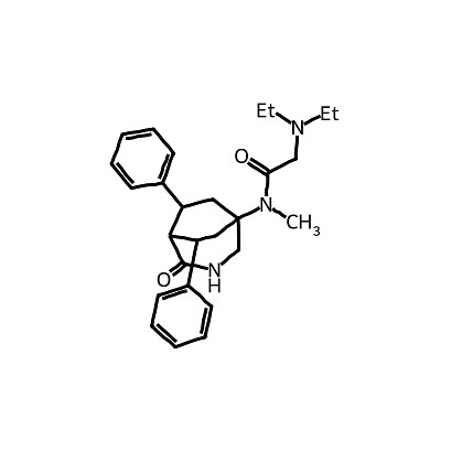 CCN(CC)CC(=O)N(C)C12CNC(=O)C(C(c3ccccc3)C1)C(c1ccccc1)C2